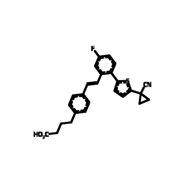 N#CC1(c2ccc(-c3ccc(F)cc3C=Cc3ccc(CCCC(=O)O)cc3)s2)CC1